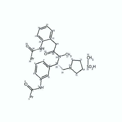 CC(C)C(=O)Nc1cccc([C@@H](CN2CCCC2)N(C)C(=O)Cc2ccccc2NC(=O)C(C)C)c1.CS(=O)(=O)O